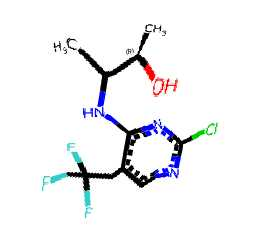 CC(Nc1nc(Cl)ncc1C(F)(F)F)[C@@H](C)O